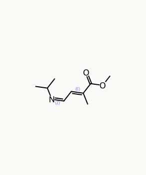 COC(=O)/C(C)=C/C=N\C(C)C